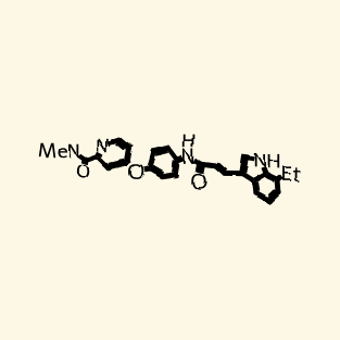 CCc1cccc2c(/C=C/C(=O)Nc3ccc(Oc4ccnc(C(=O)NC)c4)cc3)c[nH]c12